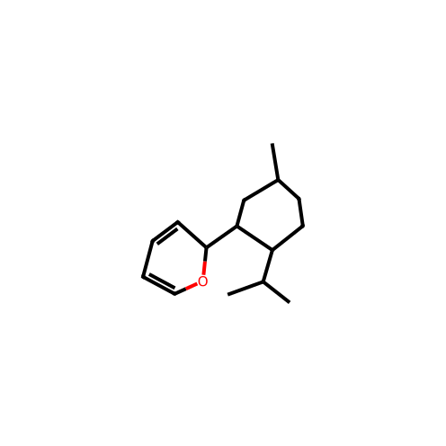 CC1CCC(C(C)C)C(C2C=CC=CO2)C1